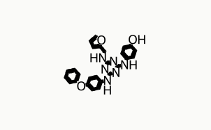 Oc1ccc(Nc2nc(NCc3ccco3)nc(Nc3ccc(Oc4ccccc4)cc3)n2)cc1